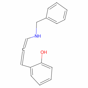 Oc1ccccc1C=C=CNCc1ccccc1